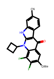 COc1cc2c(=O)c3c4ccc(C#N)cc4[nH]c3n(C3CCC3)c2c(F)c1F